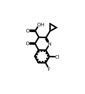 O=C(O)C1C(=O)c2ccc(F)c(Cl)c2N=C1C1CC1